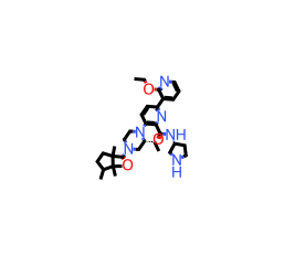 CCOc1ncccc1-c1ccc(N2CCN(C(=O)C3(C)CCC(C)C3(C)C)C[C@H]2CC)c(C(=O)N[C@@H]2CCNC2)n1